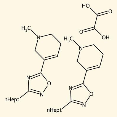 CCCCCCCc1noc(C2=CCCN(C)C2)n1.CCCCCCCc1noc(C2=CCCN(C)C2)n1.O=C(O)C(=O)O